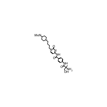 CNC1CCN(CCCCn2ccc(NC(=O)c3ccc(NC(=O)C(C)(N)CO)cc3)nc2=O)CC1